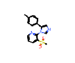 Cc1ccc(-c2cncn2-c2ncccc2S(C)(=O)=O)cc1